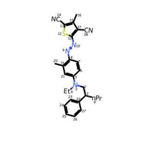 CCCC(CN(CC)c1ccc(/N=N/c2sc(C#N)c(C)c2C#N)c(C)c1)c1ccccc1